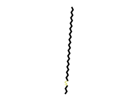 CCCCCCCCCCCCCCCCCCCCCCCCCCCCSCCCC